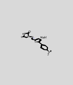 O=C1CN(/N=C/c2ccc(-c3ccc([N+](=O)[O-])cc3)o2)C(=O)N1.[NaH]